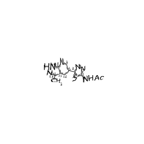 CC(=O)Nc1nnc(-c2cnc3[nH]nc(C)c3c2)s1